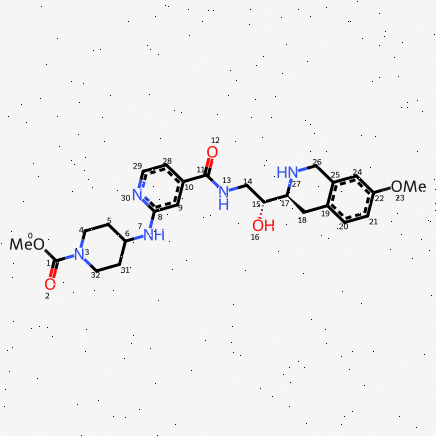 COC(=O)N1CCC(Nc2cc(C(=O)NC[C@@H](O)[C@@H]3Cc4ccc(OC)cc4CN3)ccn2)CC1